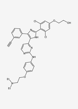 C#Cc1cccc(-c2nc(-c3c(Cl)cc(OCCO)cc3Cl)[nH]c2-c2ccnc(Nc3ccc(OCCN(CC)CC)cc3)n2)c1